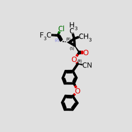 CC1(C)[C@@H](/C=C(\Cl)C(F)(F)F)[C@@H]1C(=O)O[C@@H](C#N)c1cccc(Oc2ccccc2)c1